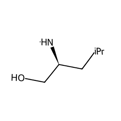 CC(C)C[C@H]([NH])CO